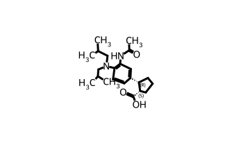 CC(=O)Nc1cc([C@@H]2CCC[C@@H]2C(=O)O)ccc1N(CC(C)C)CC(C)C